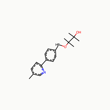 Cc1ccc(-c2ccc(BOC(C)(C)C(C)(C)O)cc2)nc1